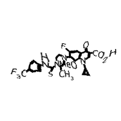 COc1c(N2CCN(C(=S)Nc3ccc(C(F)(F)F)cc3)C(C)C2)c(F)cc2c(=O)c(C(=O)O)cn(C3CC3)c12